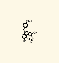 COc1ccc(CN2CC3(CC(O)C(N=[N+]=[N-])C3)c3c2ncc(Br)c3Cl)cc1